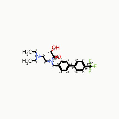 CCN(CC)CCN(Cc1ccc(-c2ccc(C(F)(F)F)cc2)cc1)C(=O)CO